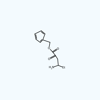 CCC(N)CC(=O)C(=O)OCc1ccccc1